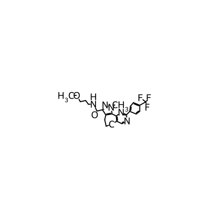 COCCCNC(=O)c1nn(C)c2c1CCCc1cnc(-c3ccc(C(F)(F)F)cc3)nc1-2